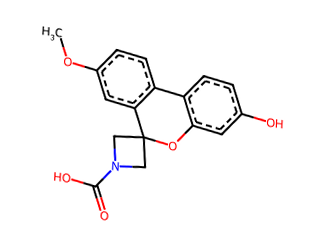 COc1ccc2c(c1)C1(CN(C(=O)O)C1)Oc1cc(O)ccc1-2